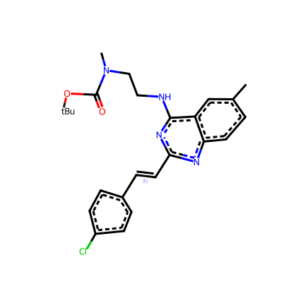 Cc1ccc2nc(/C=C/c3ccc(Cl)cc3)nc(NCCN(C)C(=O)OC(C)(C)C)c2c1